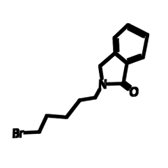 O=C1c2ccccc2CN1CCCCCBr